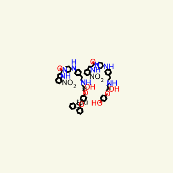 CC(C)(C)[Si](Oc1ccc(OC[C@@H](O)CNCCc2ccc(NC3CCN(C(=O)c4cc5cccc([N+](=O)[O-])c5[nH]4)CC3)cc2)cc1)(c1ccccc1)c1ccccc1.O=C(c1cc2cccc([N+](=O)[O-])c2[nH]1)N1CCC(Nc2ccc(CCNC[C@H](O)COc3ccc(O)cc3)cc2)CC1